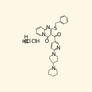 Cl.Cl.Cl.O=C(c1ccc(N2CCC(N3CCCCC3)CC2)nc1)c1c(SCc2ccccc2)nc2ccccn2c1=O